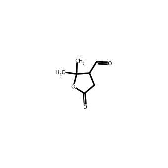 CC1(C)OC(=O)CC1C=O